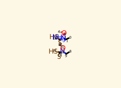 CCN(OC)C(=S)S.CCN(OC)C(=S)S.N